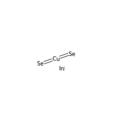 [In].[Se]=[Cu]=[Se]